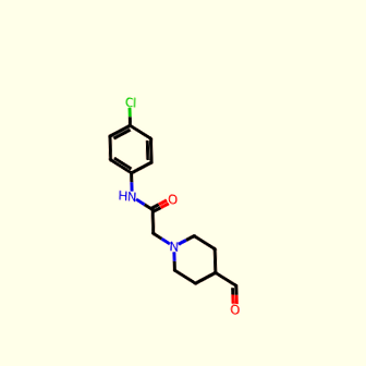 O=CC1CCN(CC(=O)Nc2ccc(Cl)cc2)CC1